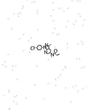 C=CC(=O)N(C)c1cnc2c(c1)c(C)nn2-c1ccc(Cl)cc1